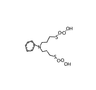 OOOSCCCN(CCCSOOO)c1ccccc1